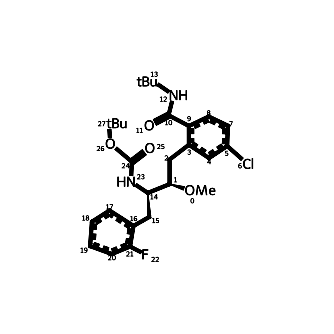 CO[C@H](Cc1cc(Cl)ccc1C(=O)NC(C)(C)C)[C@@H](Cc1ccccc1F)NC(=O)OC(C)(C)C